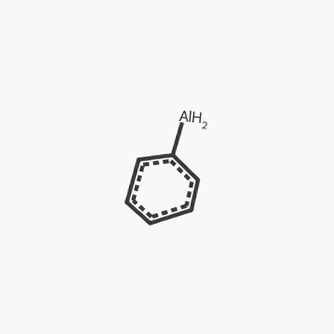 [AlH2][c]1ccccc1